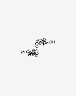 CC(C)c1csc(S(N)(=O)=NC(=O)Nc2c3c(cc4c2CC(C2Cc5cc6c(c(NC(=O)N=S(N)(=O)c7sc(C(C)(C)O)cc7F)c5C2)CC6)C4)CCC3)c1